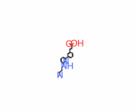 CN(C)CCCNc1cccc(-c2cccc(C=CC(=O)O)c2)n1